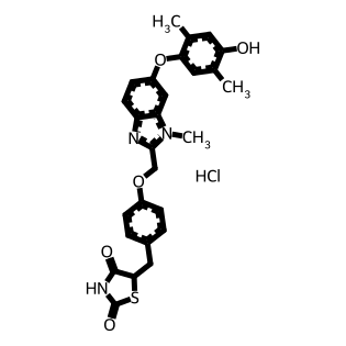 Cc1cc(Oc2ccc3nc(COc4ccc(CC5SC(=O)NC5=O)cc4)n(C)c3c2)c(C)cc1O.Cl